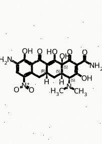 CN(C)[C@@H]1C(O)=C(C(N)=O)C(=O)[C@@]2(O)C(O)=C3C(=O)c4c(O)c(N)cc([N+](=O)[O-])c4C[C@H]3C[C@@H]12